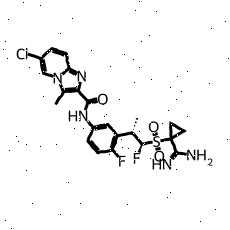 Cc1c(C(=O)Nc2ccc(F)c([C@H](C)[C@H](F)S(=O)(=O)C3(C(=N)N)CC3)c2)nc2ccc(Cl)cn12